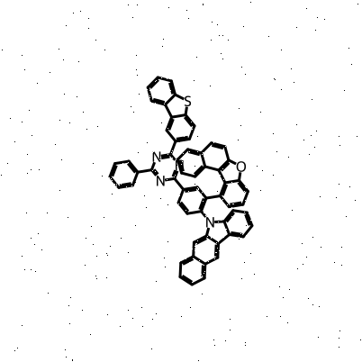 c1ccc(-c2nc(-c3ccc(-n4c5ccccc5c5cc6ccccc6cc54)c(-c4cccc5oc6ccc7ccccc7c6c45)c3)nc(-c3ccc4sc5ccccc5c4c3)n2)cc1